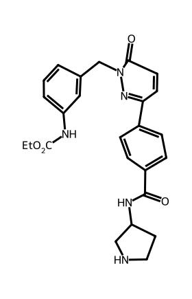 CCOC(=O)Nc1cccc(Cn2nc(-c3ccc(C(=O)NC4CCNC4)cc3)ccc2=O)c1